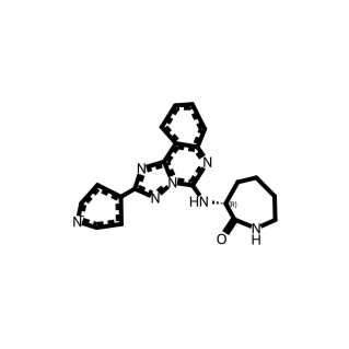 O=C1NCCCC[C@H]1Nc1nc2ccccc2c2nc(-c3ccncc3)nn12